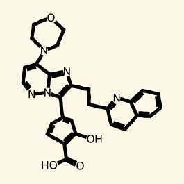 O=C(O)c1ccc(-c2c(CCc3ccc4ccccc4n3)nc3c(N4CCOCC4)ccnn23)cc1O